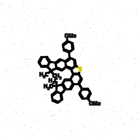 COc1ccc(-c2cc3sc4cc(-c5ccc(OC)cc5)c5cc6c(cc5c4c3c3cc4c(cc23)-c2ccccc2C4(C)C)C(C)(C)c2ccccc2-6)cc1